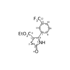 CCOC(=O)c1sc(=O)[nH]c1-c1cccc(C(F)(F)F)c1